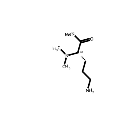 CNC(=O)[C@H](CCCN)N(C)C